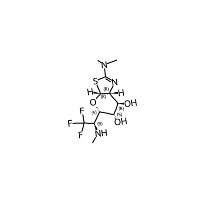 CN[C@H]([C@@H]1O[C@@H]2SC(N(C)C)=N[C@@H]2[C@@H](O)[C@@H]1O)C(F)(F)F